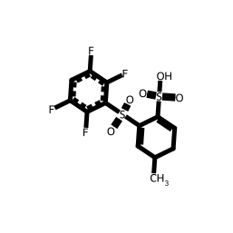 CC1C=C(S(=O)(=O)c2c(F)c(F)cc(F)c2F)C(S(=O)(=O)O)=CC1